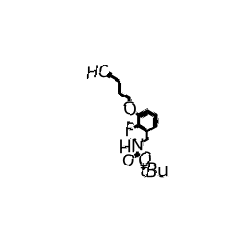 C#CCCCOc1cccc(CNC(=O)OC(C)(C)C)c1F